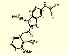 B.COc1ccnc(C[S+]([O-])c2nc3cc(OC(F)F)ccc3[nH]2)c1OC.[NaH]